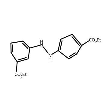 CCOC(=O)c1ccc(NNc2cccc(C(=O)OCC)c2)cc1